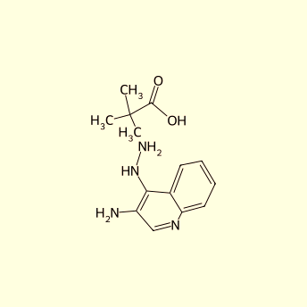 CC(C)(C)C(=O)O.NNc1c(N)cnc2ccccc12